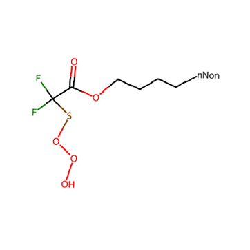 CCCCCCCCCCCCCOC(=O)C(F)(F)SOOO